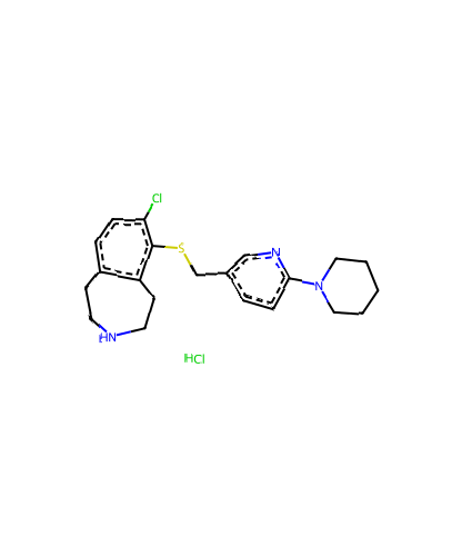 Cl.Clc1ccc2c(c1SCc1ccc(N3CCCCC3)nc1)CCNCC2